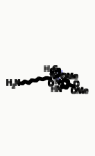 C/C=C\C(=N/n1c(OC)cc(C(=O)OC)cc1=N)N(C)C(=O)CCCCCCCCN